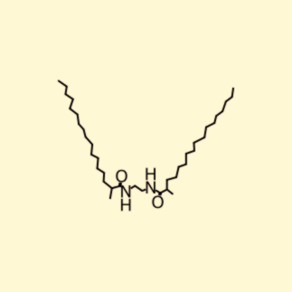 CCCCCCCCCCCCCCCC(C)C(=O)NCCNC(=O)C(C)CCCCCCCCCCCCCCC